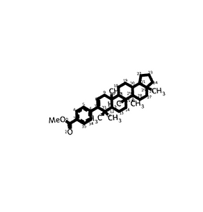 COC(=O)c1ccc(C2=CCC3(C)C(CCC4(C)C3CCC3C5CCCC5(C)CC[C@]34C)C2(C)C)cc1